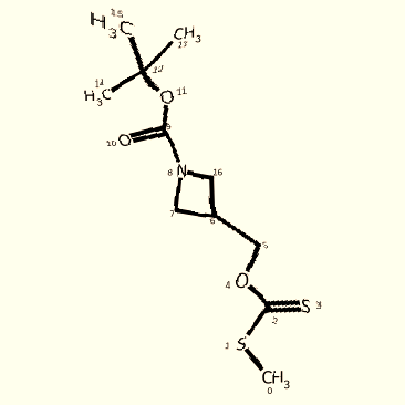 CSC(=S)OCC1CN(C(=O)OC(C)(C)C)C1